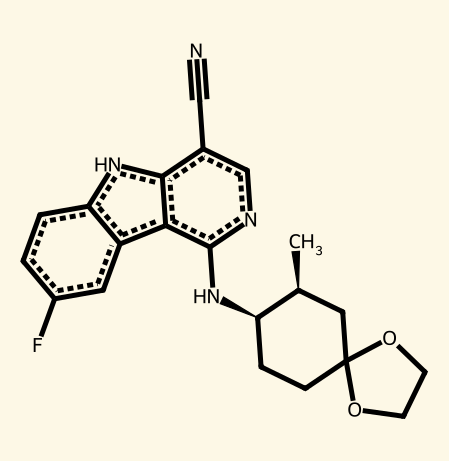 C[C@H]1CC2(CC[C@H]1Nc1ncc(C#N)c3[nH]c4ccc(F)cc4c13)OCCO2